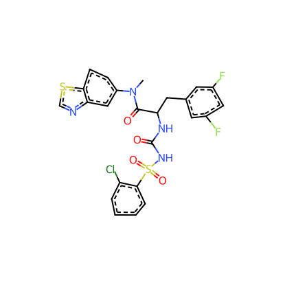 CN(C(=O)C(Cc1cc(F)cc(F)c1)NC(=O)NS(=O)(=O)c1ccccc1Cl)c1ccc2scnc2c1